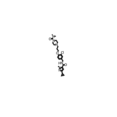 CN(C)C(=O)N1CCN(CCCOc2ccc(CNC(=O)c3cc(C4CC4)nn3C)cc2Cl)CC1